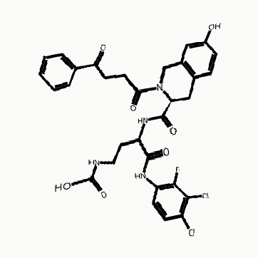 O=C(O)NCCC(NC(=O)[C@@H]1Cc2ccc(O)cc2CN1C(=O)CCC(=O)c1ccccc1)C(=O)Nc1ccc(Cl)c(Cl)c1F